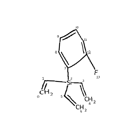 C=C[Si](C=C)(C=C)c1ccccc1F